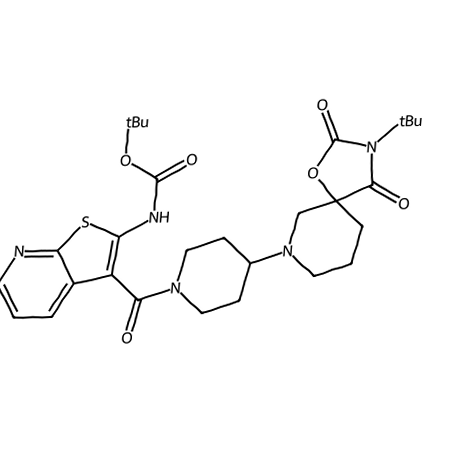 CC(C)(C)OC(=O)Nc1sc2ncccc2c1C(=O)N1CCC(N2CCCC3(C2)OC(=O)N(C(C)(C)C)C3=O)CC1